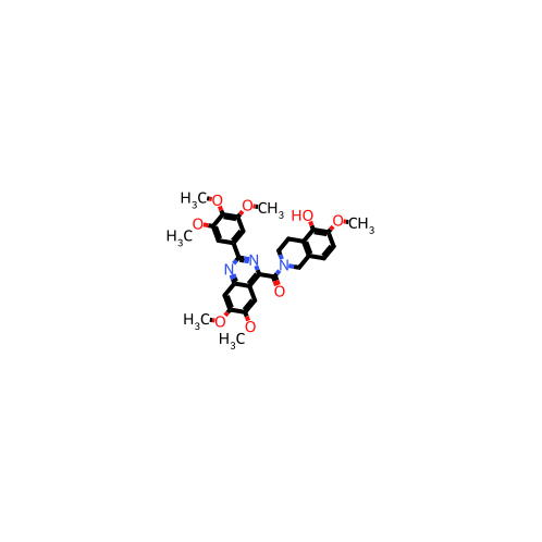 COc1cc2nc(-c3cc(OC)c(OC)c(OC)c3)nc(C(=O)N3CCc4c(ccc(OC)c4O)C3)c2cc1OC